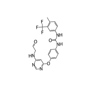 Cc1ccc(NC(=O)Nc2ccc(Oc3cc(NCC=O)ncn3)cc2)cc1C(F)(F)F